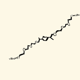 CCCCOCCOCCOCCOC=C(C)c1ccc(C(C)=COCCOCCOCCOCCCC)cc1